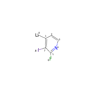 [Li][c]1ccnc(F)c1I